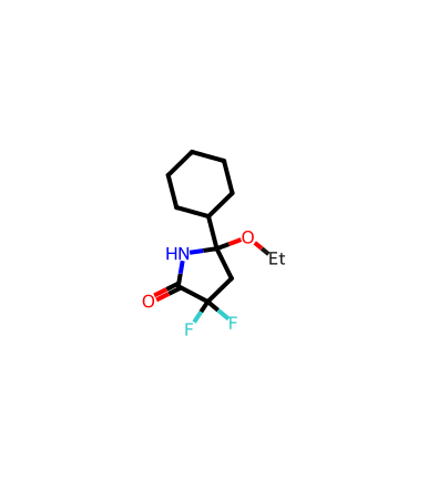 CCOC1(C2CCCCC2)CC(F)(F)C(=O)N1